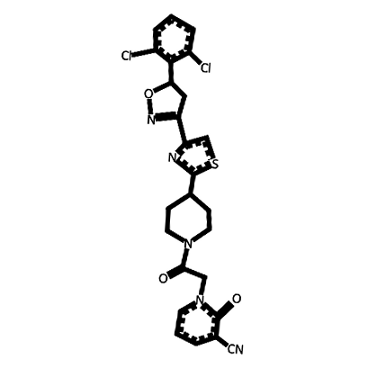 N#Cc1cccn(CC(=O)N2CCC(c3nc(C4=NOC(c5c(Cl)cccc5Cl)C4)cs3)CC2)c1=O